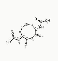 O=C(O)N[C@H]1CSSC[C@H](NC(=O)O)C(=O)OC1=O